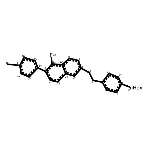 CCCCCCc1ccc(CCc2ccc3c(F)c(-c4ccc(C)cc4)ccc3c2)cc1